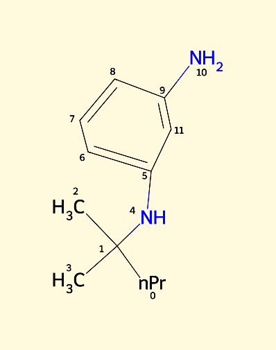 CCCC(C)(C)Nc1cccc(N)c1